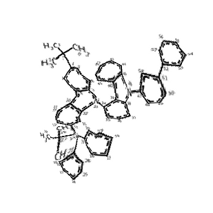 CC(C)(C)c1ccc2c(c1)c1ccc([Si](c3ccccc3)(c3ccccc3)C(C)(C)C)cc1n2-c1cccc2c1c1ccccc1n2-c1cccc(-c2ccccc2)c1